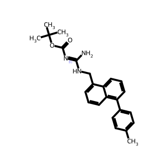 Cc1ccc(-c2cccc3c(CN/C(N)=N/C(=O)OC(C)(C)C)cccc23)cc1